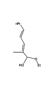 CCC/C=C/C=C(\C)C(O)OCC